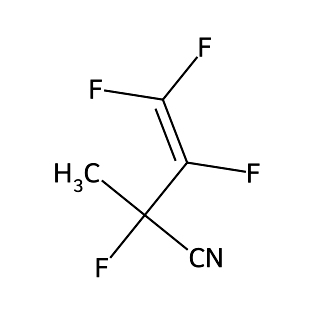 CC(F)(C#N)C(F)=C(F)F